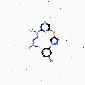 CC(=O)N(C)CCN(C)c1cncc(Oc2cnn(-c3cccc(C(F)(F)F)c3)c2)n1